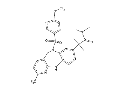 CN(C)C(=O)C(C)(C)c1ccc2c(c1)N(S(=O)(=O)c1ccc(OC(F)(F)F)cc1)Cc1ccc(C(F)(F)F)nc1N2